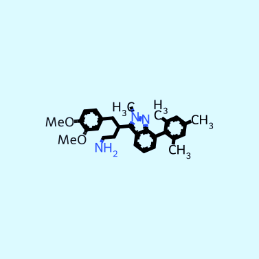 COc1ccc(CC(CCN)c2c3cccc(-c4c(C)cc(C)cc4C)c3nn2C)cc1OC